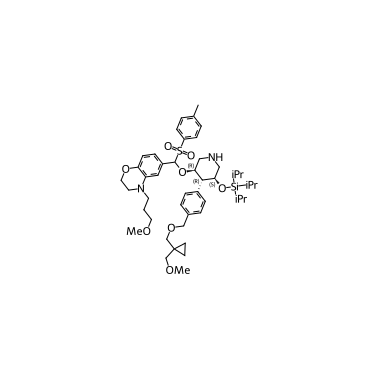 COCCCN1CCOc2ccc(C(O[C@H]3CNC[C@@H](O[Si](C(C)C)(C(C)C)C(C)C)[C@@H]3c3ccc(COCC4(COC)CC4)cc3)S(=O)(=O)c3ccc(C)cc3)cc21